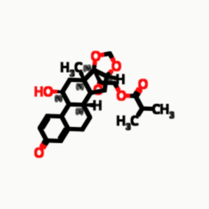 CC(C)C(=O)OCC(=O)[C@@]12OCO[C@@H]1CC1[C@@H]3CCC4=CC(=O)C=CC4C3[C@@H](O)C[C@@]12C